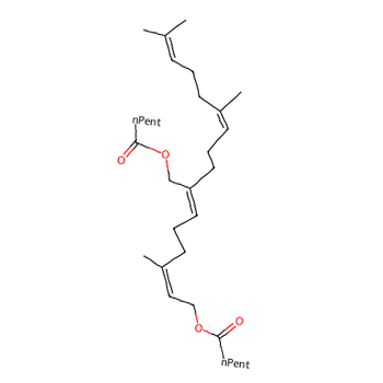 CCCCCC(=O)OCC=C(C)CCC=C(CCC=C(C)CCC=C(C)C)COC(=O)CCCCC